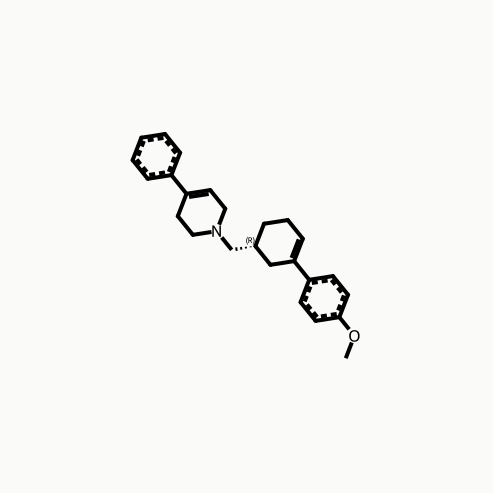 COc1ccc(C2=CCC[C@@H](CN3CC=C(c4ccccc4)CC3)C2)cc1